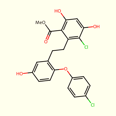 COC(=O)c1c(O)cc(O)c(Cl)c1CCc1cc(O)ccc1Oc1ccc(Cl)cc1